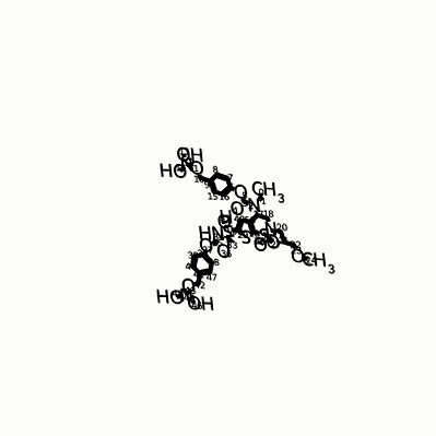 CCN(C(=O)Oc1ccc(CON(O)O)cc1)[C@H]1CN(CCCOC)S(=O)(=O)c2sc([SH](=O)(F)NC(=O)Oc3ccc(CON(O)O)cc3)cc21